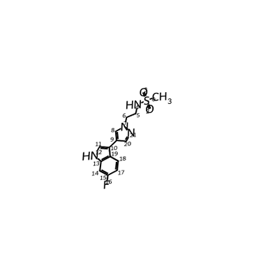 CS(=O)(=O)NCCn1cc(-c2c[nH]c3cc(F)ccc23)cn1